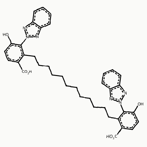 O=C(O)c1ccc(O)c(-n2nc3ccccc3n2)c1CCCCCCCCCCCCc1c(C(=O)O)ccc(O)c1-n1nc2ccccc2n1